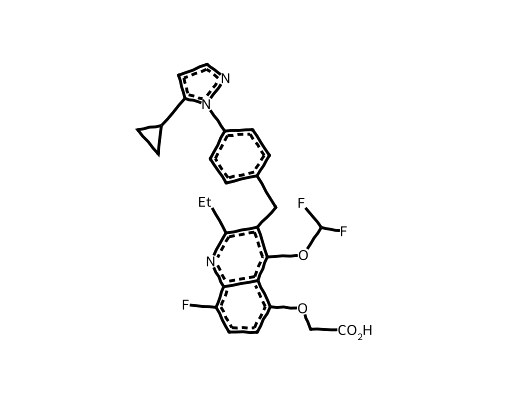 CCc1nc2c(F)ccc(OCC(=O)O)c2c(OC(F)F)c1Cc1ccc(-n2nccc2C2CC2)cc1